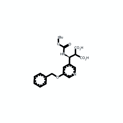 CC(C)(C)OC(=O)N[C@H](c1cncc(OCc2ccccc2)c1)C(C(=O)O)C(=O)O